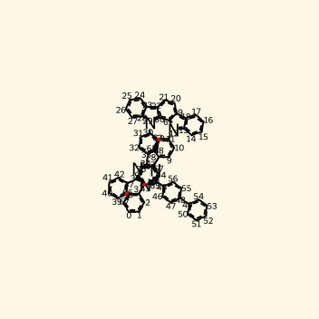 c1ccc(-c2ccc(-c3ccc(-n4c5ccccc5c5ccc6c7ccccc7n(-c7ccc(-c8nc(-c9ccccc9)nc(-c9ccc(-c%10ccccc%10)cc9)n8)cc7)c6c54)cc3)cc2)cc1